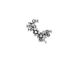 C=C(CO)NC(=O)Nc1ccc(-c2nc(N)cc(C(C)(C)S(=O)O)n2)cc1